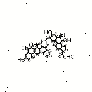 CC[C@@H]1C2C[C@H](O)C(CCCC3CC4C5C(CC[C@]4(C)[C@H]3[C@H](C)C3OCCO3)[C@@]3(C)CC[C@@H](O)CC3[C@@H](CC)[C@H]5O)C[C@]2(C)C2CC[C@@]3(C)C(CC[C@@H]3[C@H](C)C=O)C2[C@@H]1O